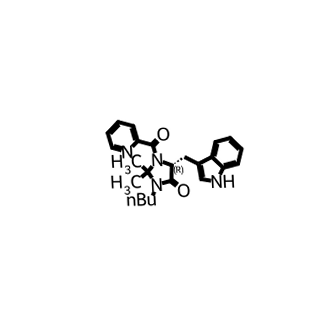 CCCCN1C(=O)[C@@H](Cc2c[nH]c3ccccc23)N(C(=O)c2ccccn2)C1(C)C